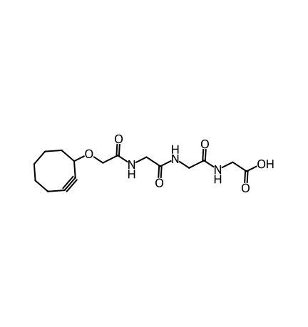 O=C(O)CNC(=O)CNC(=O)CNC(=O)COC1C#CCCCCC1